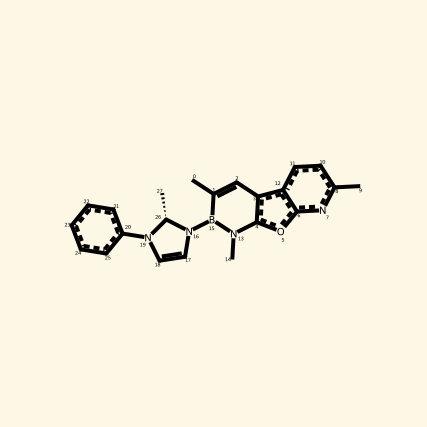 CC1=Cc2c(oc3nc(C)ccc23)N(C)B1N1C=CN(c2ccccc2)[C@@H]1C